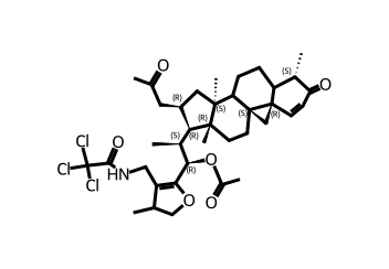 CC(=O)C[C@H]1C[C@@]2(C)C3CCC4[C@H](C)C(=O)C=C[C@@]45C[C@@]35CC[C@]2(C)[C@H]1[C@H](C)[C@@H](OC(C)=O)C1=C(CNC(=O)C(Cl)(Cl)Cl)C(C)CO1